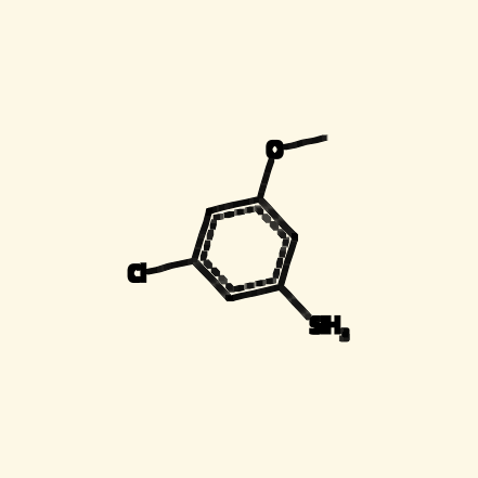 COc1cc([SiH3])cc(Cl)c1